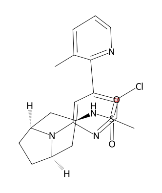 Cc1cccnc1-c1cc(N2[C@@H]3CC[C@H]2C[C@@H](NS(C)(=O)=O)C3)ncc1Cl